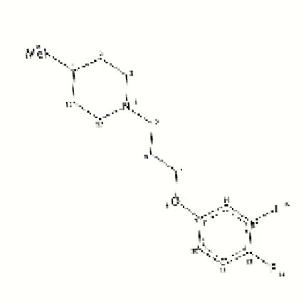 CNC1CCN(CCCOc2ccc(F)c(F)c2)CC1